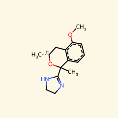 COc1cccc2c1C[C@@H](C)OC2(C)C1=NCCN1